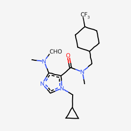 CN(CC1CCC(C(F)(F)F)CC1)C(=O)c1c(N(C)C=O)ncn1CC1CC1